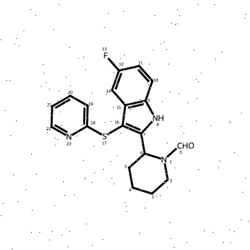 O=CN1CCCCC1c1[nH]c2ccc(F)cc2c1Sc1ccccn1